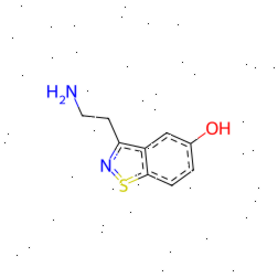 NCCc1nsc2ccc(O)cc12